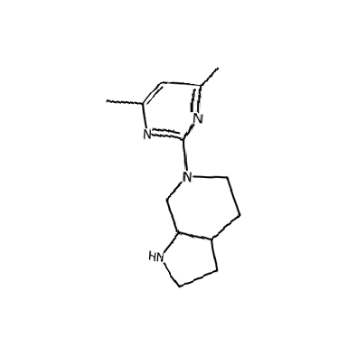 Cc1cc(C)nc(N2CCC3CCNC3C2)n1